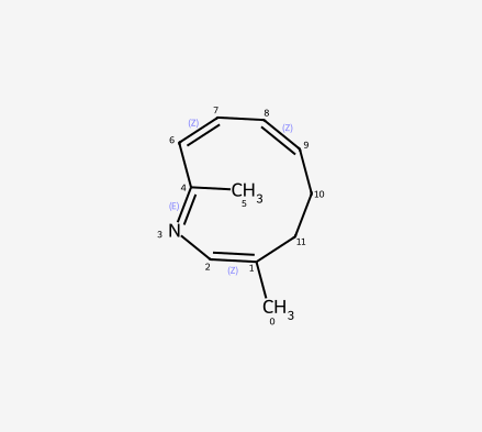 C/C1=C/N=C(C)/C=C\C=C/CC1